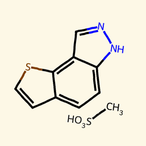 CS(=O)(=O)O.c1cc2ccc3[nH]ncc3c2s1